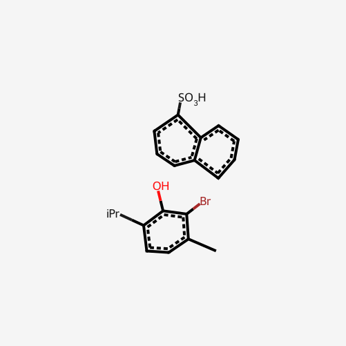 Cc1ccc(C(C)C)c(O)c1Br.O=S(=O)(O)c1cccc2ccccc12